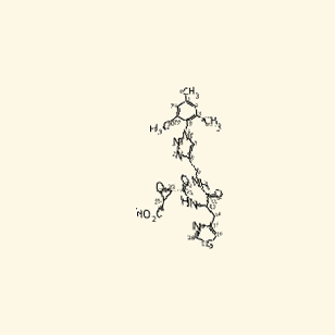 Cc1cc(C)c(-n2cc(CNC(=O)C(Cc3cscn3)NC(=O)[C@H]3O[C@@H]3C(=O)O)nn2)c(C)c1